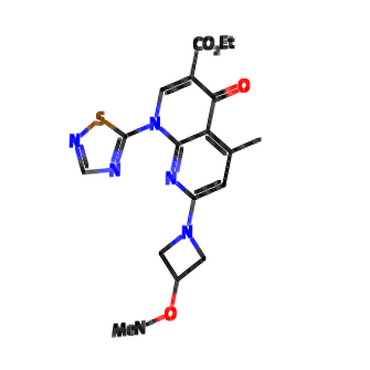 CCOC(=O)c1cn(-c2ncns2)c2nc(N3CC(ONC)C3)cc(C)c2c1=O